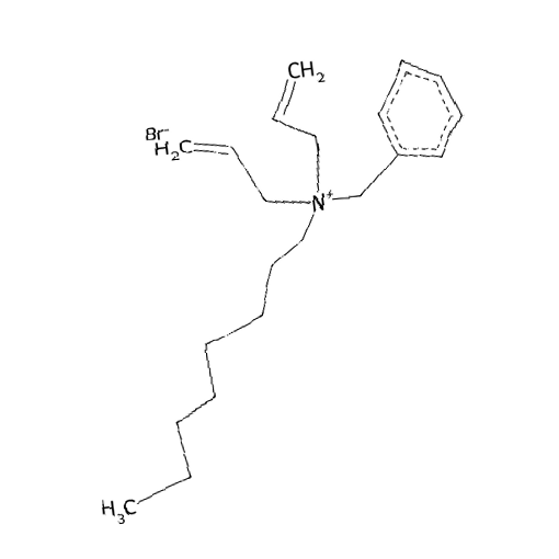 C=CC[N+](CC=C)(CCCCCCCC)Cc1ccccc1.[Br-]